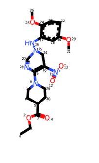 CCOC(=O)C1CCN(C2=C([N+](=O)[O-])CN(Nc3cc(OC)ccc3OC)C=N2)CC1